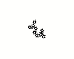 c1ccc(-c2nc(-c3cccc(-c4cccc(-c5cccc(-c6nc(-c7ccccc7)c7oc8ccccc8c7n6)c5)c4)c3)c3sc4ccccc4c3n2)cc1